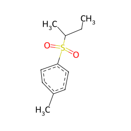 CCC(C)S(=O)(=O)c1ccc(C)cc1